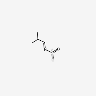 CC(C)C=N[SH](=O)=O